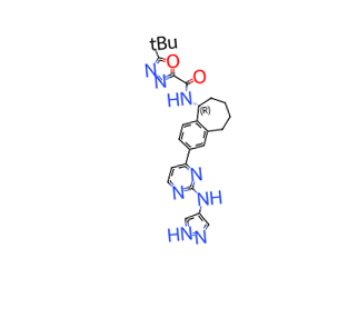 CC(C)(C)c1nnc(C(=O)N[C@@H]2CCCCc3cc(-c4ccnc(Nc5cn[nH]c5)n4)ccc32)o1